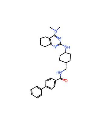 CN(C)c1nc(NC2CCC(CNC(=O)c3ccc(-c4ccccc4)cc3)CC2)nc2c1CCCC2